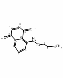 CCCONc1cccc2c1C(=O)N=NC2=O